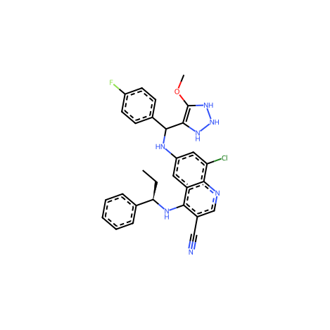 CC[C@@H](Nc1c(C#N)cnc2c(Cl)cc(NC(C3=C(OC)NNN3)c3ccc(F)cc3)cc12)c1ccccc1